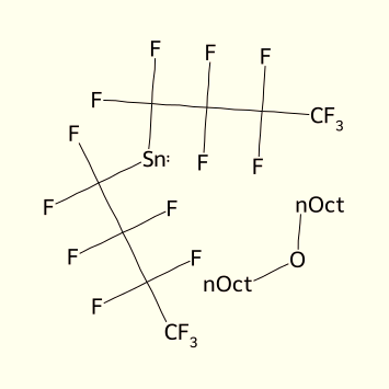 CCCCCCCCOCCCCCCCC.FC(F)(F)C(F)(F)C(F)(F)[C](F)(F)[Sn][C](F)(F)C(F)(F)C(F)(F)C(F)(F)F